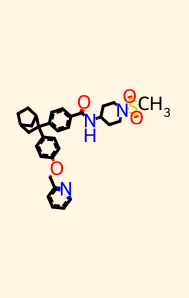 CS(=O)(=O)N1CCC(NC(=O)c2ccc(C3(c4ccc(OCc5ccccn5)cc4)CC4CCC3C4)cc2)CC1